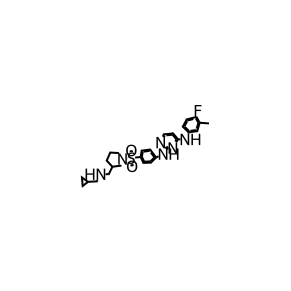 Cc1cc(Nc2ccnc(Nc3ccc(S(=O)(=O)N4CCCC(CNCC5CC5)C4)cc3)n2)ccc1F